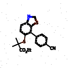 CCOC(=O)C(C)(C)Sc1ccc2ncsc2c1-c1ccc(C#N)cc1